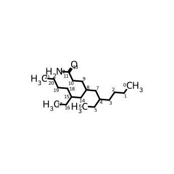 CCCCC(CC)CC(CCC(N)=O)CC(CC)CCCC